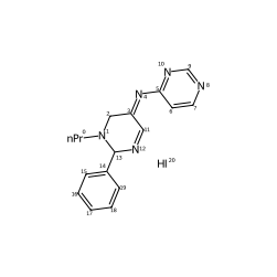 CCCN1C/C(=N/c2ccncn2)C=NC1c1ccccc1.I